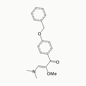 COC(=CN(C)C)C(=O)c1ccc(OCc2ccccc2)cc1